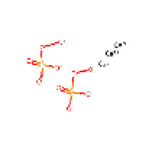 O=P([O-])([O-])O[O-].O=P([O-])([O-])O[O-].[Ca+2].[Ca+2].[Ca+2]